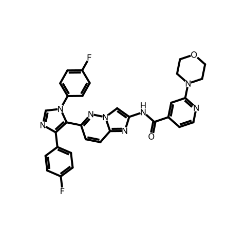 O=C(Nc1cn2nc(-c3c(-c4ccc(F)cc4)ncn3-c3ccc(F)cc3)ccc2n1)c1ccnc(N2CCOCC2)c1